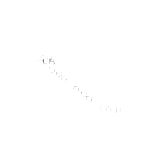 CC1(C)C=CC=CC=C1CCCOCCOCCOCCCCCOCCOCCOCCCCCC(=O)O